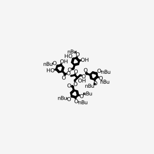 CCCCOc1cc(C(=O)OCC(O)(COC(=O)c2cc(OCCCC)c(OCCCC)c(OCCCC)c2)C(COC(=O)c2cc(O)c(OCCCC)c(O)c2)OC(=O)c2cc(O)c(OCCCC)c(O)c2)cc(OCCCC)c1OCCCC